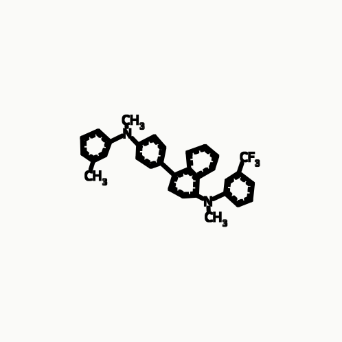 Cc1cccc(N(C)c2ccc(-c3ccc(N(C)c4cccc(C(F)(F)F)c4)c4ccccc34)cc2)c1